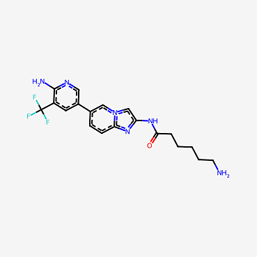 NCCCCCC(=O)Nc1cn2cc(-c3cnc(N)c(C(F)(F)F)c3)ccc2n1